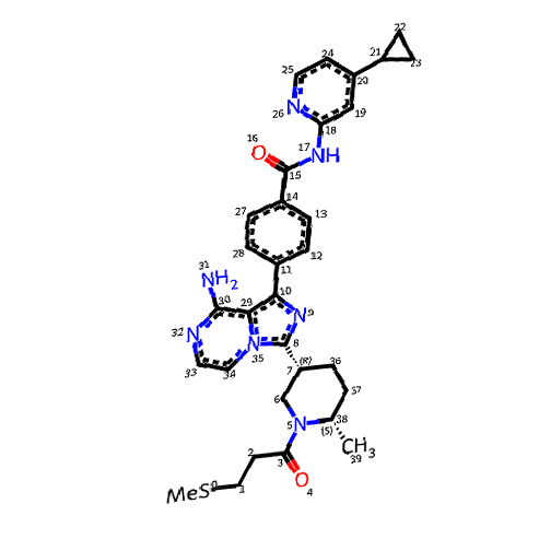 CSCCC(=O)N1C[C@H](c2nc(-c3ccc(C(=O)Nc4cc(C5CC5)ccn4)cc3)c3c(N)nccn23)CC[C@@H]1C